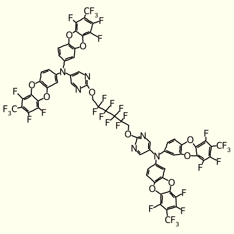 Fc1c(F)c(C(F)(F)F)c(F)c2c1Oc1cc(N(c3cnc(OCC(F)(F)C(F)(F)C(F)(F)C(F)(F)COc4ncc(N(c5ccc6c(c5)Oc5c(F)c(F)c(C(F)(F)F)c(F)c5O6)c5ccc6c(c5)Oc5c(F)c(F)c(C(F)(F)F)c(F)c5O6)cn4)nc3)c3ccc4c(c3)Oc3c(F)c(F)c(C(F)(F)F)c(F)c3O4)ccc1O2